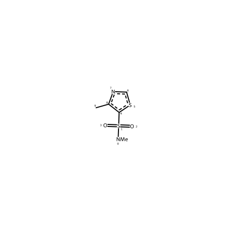 CNS(=O)(=O)c1scnc1C